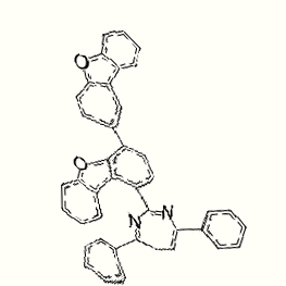 C1=C(c2ccccc2)N=C(c2ccc(-c3ccc4oc5ccccc5c4c3)c3oc4ccccc4c23)N=C(c2ccccc2)C1